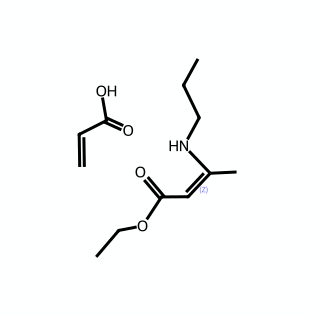 C=CC(=O)O.CCCN/C(C)=C\C(=O)OCC